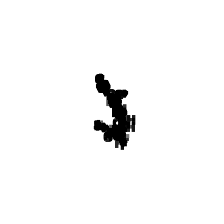 CCOc1cc(-c2ncc(NC(=O)Nc3cc(C(=O)NCCN(C)C)cc(C(F)(F)F)c3)cn2)cnc1OCc1ccc(OC)cc1